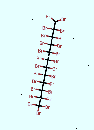 BrC(Br)C(Br)(Br)C(Br)(Br)C(Br)(Br)C(Br)(Br)C(Br)(Br)C(Br)(Br)C(Br)(Br)C(Br)(Br)C(Br)(Br)C(Br)(Br)C(Br)(Br)Br